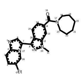 CCc1ccc2ncc(-c3nn(C)c4cc(C(=O)N5CCCCCC5)ccc34)n2c1